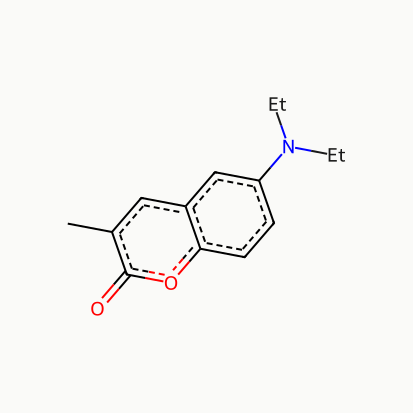 CCN(CC)c1ccc2oc(=O)c(C)cc2c1